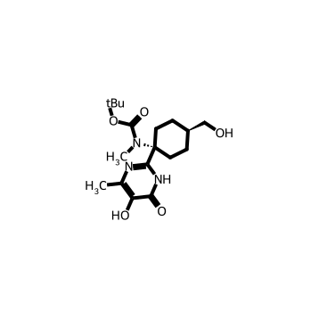 Cc1nc([C@]2(N(C)C(=O)OC(C)(C)C)CC[C@H](CO)CC2)[nH]c(=O)c1O